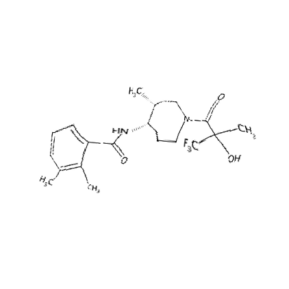 Cc1cccc(C(=O)N[C@H]2CCN(C(=O)C(C)(O)C(F)(F)F)C[C@H]2C)c1C